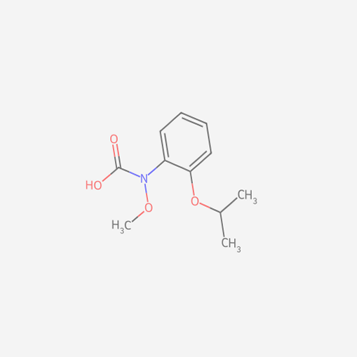 CON(C(=O)O)c1ccccc1OC(C)C